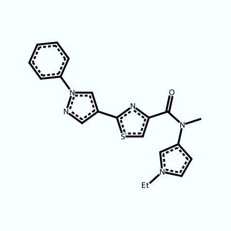 CCn1ccc(N(C)C(=O)c2csc(-c3cnn(-c4ccccc4)c3)n2)c1